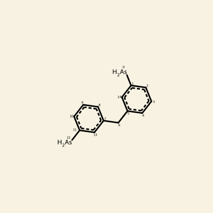 [AsH2]c1cccc(Cc2cccc([AsH2])c2)c1